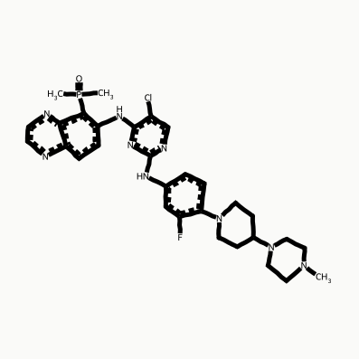 CN1CCN(C2CCN(c3ccc(Nc4ncc(Cl)c(Nc5ccc6nccnc6c5P(C)(C)=O)n4)cc3F)CC2)CC1